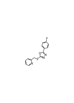 Fc1ccc(-c2nnc(SCc3ccccn3)o2)cc1